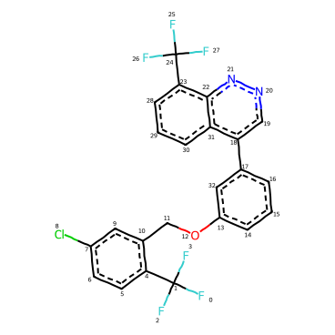 FC(F)(F)c1ccc(Cl)cc1COc1cccc(-c2cnnc3c(C(F)(F)F)cccc23)c1